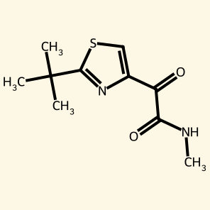 CNC(=O)C(=O)c1csc(C(C)(C)C)n1